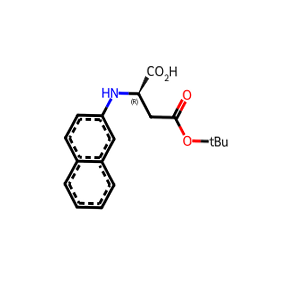 CC(C)(C)OC(=O)C[C@@H](Nc1ccc2ccccc2c1)C(=O)O